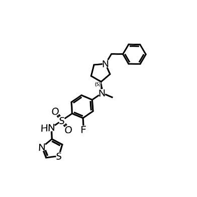 CN(c1ccc(S(=O)(=O)Nc2cscn2)c(F)c1)[C@H]1CCN(Cc2ccccc2)C1